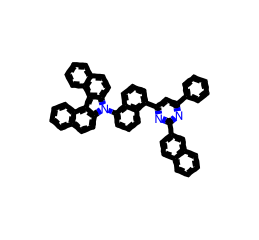 c1ccc(-c2cc(-c3cccc4c(-n5c6ccc7ccccc7c6c6c7ccccc7ccc65)cccc34)nc(-c3ccc4ccccc4c3)n2)cc1